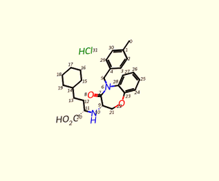 Cc1ccc(CN2C(=O)[C@@H](N[C@@H](CCC3CCCCC3)C(=O)O)COc3ccccc32)cc1.Cl